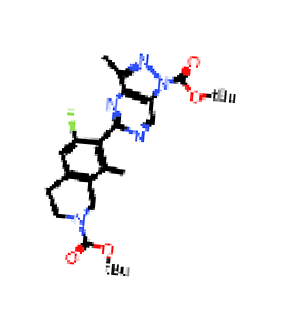 Cc1c2c(cc(F)c1-c1ncc3c(n1)c(C)nn3C(=O)OC(C)(C)C)CCN(C(=O)OC(C)(C)C)C2